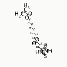 C=C(C)C(=O)OCCCCCCCCOC(=O)CCC1NC(=S)NC1=O